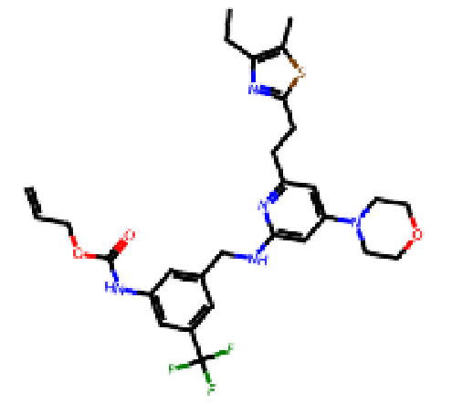 C=CCOC(=O)Nc1cc(CNc2cc(N3CCOCC3)cc(CCc3nc(CC)c(C)s3)n2)cc(C(F)(F)F)c1